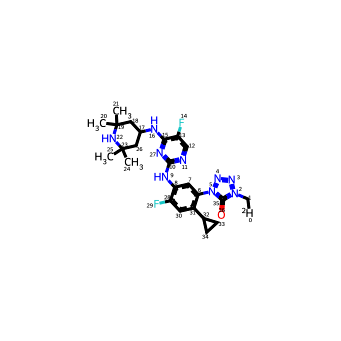 [2H]Cn1nnn(-c2cc(Nc3ncc(F)c(NC4CC(C)(C)NC(C)(C)C4)n3)c(F)cc2C2CC2)c1=O